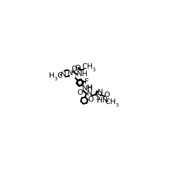 CCC(=O)N[C@H](Cc1ccc(NC(=O)[C@@H](NC(=O)c2cnc(C(=O)NC)s2)C2CCCCC2)c(F)c1)C(=O)N1CCN(C)CC1